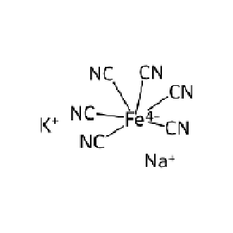 N#[C][Fe-4]([C]#N)([C]#N)([C]#N)([C]#N)[C]#N.[K+].[Na+]